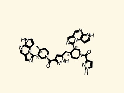 C[C@H]1CCN(C(=O)c2cc(C[C@@H]3CCN(C(=O)c4cc[nH]n4)C[C@@H]3c3ncc4cnc5[nH]ccc5n34)[nH]n2)C[C@H]1c1ncc2cnc3[nH]ccc3n12